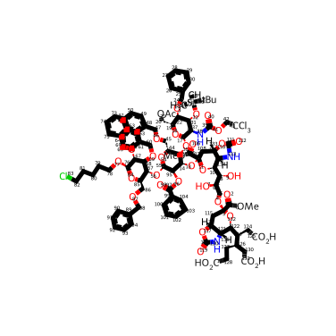 COC(=O)[C@@]1(OC[C@@H](O)[C@@H](O)[C@@H]2O[C@@](O[C@H]3[C@@H](O[C@@H]4O[C@H](COC(C)=O)[C@H](OCc5ccccc5)[C@H](O[Si](C)(C)C(C)(C)C)[C@H]4NC(=O)OCC(Cl)(Cl)Cl)[C@@H](COCc4ccccc4)O[C@@H](O[C@H]4C(OCc5ccccc5)[C@@H](OCc5ccccc5)[C@H](OCCCCCCl)O[C@@H]4COCc4ccccc4)[C@@H]3OC(=O)c3ccccc3)(C(=O)OC)C[C@@H]3OC(=O)N[C@@H]23)C[C@@H]2OC(=O)N[C@H]2[C@@H]([C@@H](CC(=O)O)[C@H](CCC(=O)O)CC(=O)O)O1